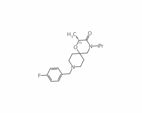 CC(C)N1CC2(CCN(Cc3ccc(F)cc3)CC2)O[C@@H](C)C1=O